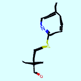 Cc1ccc(SCC(C)(C)C=O)nc1